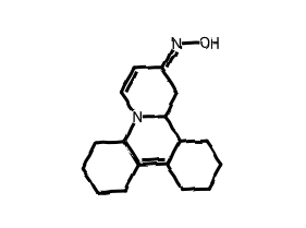 ON=C1C=CN2C3CCCCC3=C3CCCCC3C2C1